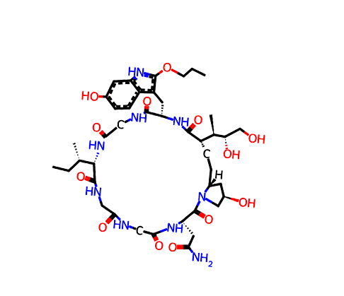 CCCOc1[nH]c2cc(O)ccc2c1C[C@@H]1NC(=O)[C@H]([C@@H](C)[C@@H](O)CO)CC[C@@H]2C[C@@H](O)CN2C(=O)[C@H](CC(N)=O)NC(=O)CNC(=O)CNC(=O)[C@H]([C@@H](C)CC)NC(=O)CNC1=O